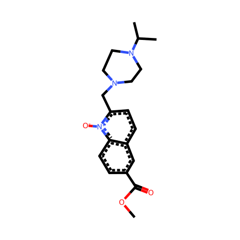 COC(=O)c1ccc2c(ccc(CN3CCN(C(C)C)CC3)[n+]2[O-])c1